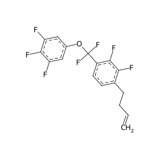 C=CCCc1ccc(C(F)(F)Oc2cc(F)c(F)c(F)c2)c(F)c1F